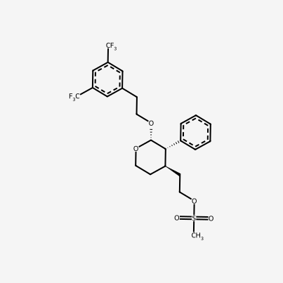 CS(=O)(=O)OCC[C@H]1CCO[C@H](OCCc2cc(C(F)(F)F)cc(C(F)(F)F)c2)[C@@H]1c1ccccc1